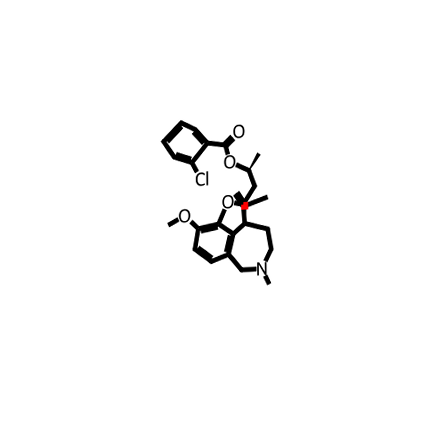 C=C(C)[C@@]12CCN(C)Cc3ccc(OC)c(c31)OC2C[C@H](C)OC(=O)c1ccccc1Cl